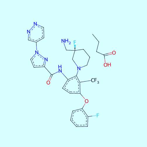 CCCC(=O)O.NC[C@]1(F)CCCN(c2c(NC(=O)c3ccn(-c4ccnnc4)n3)ccc(Oc3ccccc3F)c2C(F)(F)F)C1